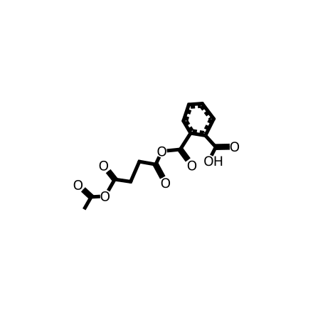 CC(=O)OC(=O)CCC(=O)OC(=O)c1ccccc1C(=O)O